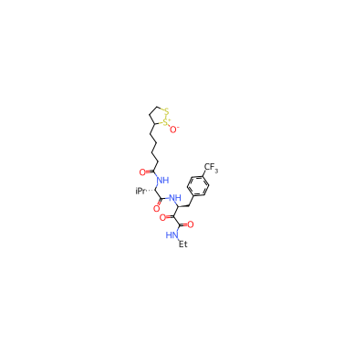 CCNC(=O)C(=O)[C@H](Cc1ccc(C(F)(F)F)cc1)NC(=O)[C@@H](NC(=O)CCCCC1CCS[S+]1[O-])C(C)C